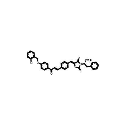 O=C(/C=C/c1ccc(/C=C2\SC(=S)N([C@@H](Cc3ccccc3)C(=O)O)C2=O)cc1)c1ccc(OCc2ccccc2Cl)cc1